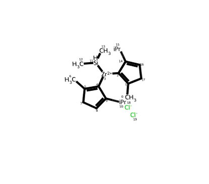 CC1=[C]([Zr+2]([C]2=C(C)CC=C2C(C)C)[SiH](C)C)C(C(C)C)=CC1.[Cl-].[Cl-]